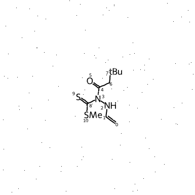 C=CNN(C(=O)CC(C)(C)C)C(=S)SC